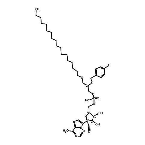 CCCCCCCCCCCCCCCCCCOC[C@H](COP(=O)(O)OC[C@H]1O[C@@](C#N)(c2ccc3c(C)ncnn23)[C@H](O)[C@@H]1O)OCc1ccc(F)cc1